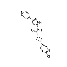 O=C(Nc1cc(-c2ccnnc2)n[nH]1)[C@H]1C[C@H](c2ccc(Cl)nc2)C1